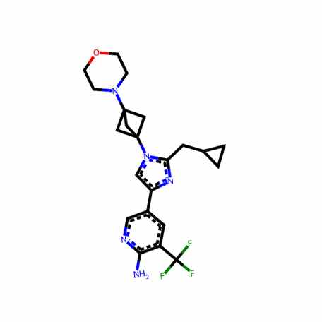 Nc1ncc(-c2cn(C34CC(N5CCOCC5)(C3)C4)c(CC3CC3)n2)cc1C(F)(F)F